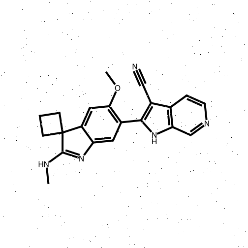 CNC1=Nc2cc(-c3[nH]c4cnccc4c3C#N)c(OC)cc2C12CCC2